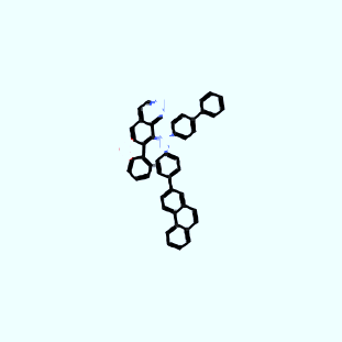 c1ccc(-c2ccc(N(c3ccc(-c4ccc5c(ccc6ccccc65)c4)cc3)c3c4cnccc4cc4oc5ccccc5c34)cc2)cc1